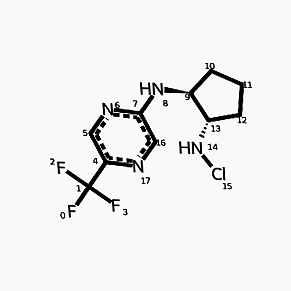 FC(F)(F)c1cnc(N[C@H]2CCC[C@@H]2NCl)cn1